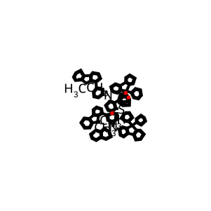 CC1(C)c2ccccc2-c2cccc(-c3cccc(N(c4ccc5c(c4)C(c4ccccc4)(c4ccc([SH]6c7ccccc7-c7c(N(c8cccc(-c9cccc%10c9C(C)(C)c9ccccc9-%10)c8)c8ccc9c(c8)C(c8ccccc8)(c8ccccc8)c8ccccc8-9)cccc76)cc4)c4ccccc4-5)c4ccc5ccccc5c4)c3)c21